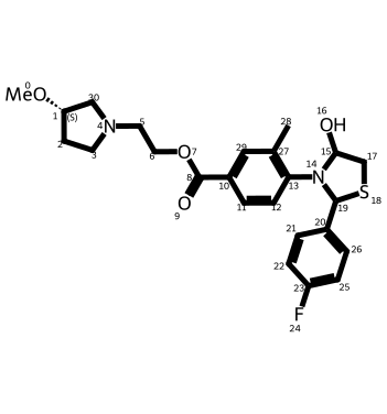 CO[C@H]1CCN(CCOC(=O)c2ccc(N3C(O)CSC3c3ccc(F)cc3)c(C)c2)C1